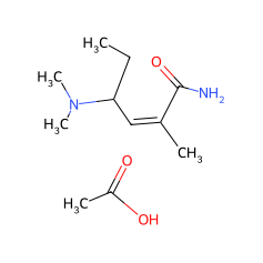 CC(=O)O.CCC(C=C(C)C(N)=O)N(C)C